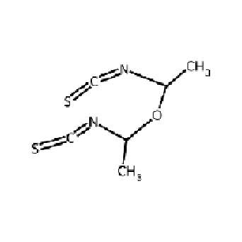 CC(N=C=S)OC(C)N=C=S